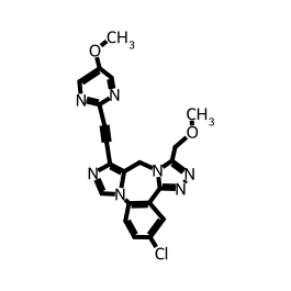 COCc1nnc2n1Cc1c(C#Cc3ncc(OC)cn3)ncn1-c1ccc(Cl)cc1-2